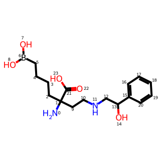 NC(CCCCB(O)O)(CCNCC(O)c1ccccc1)C(=O)O